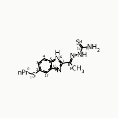 CCCSc1ccc2[nH]c(C(C)=NNC(N)=S)nc2c1